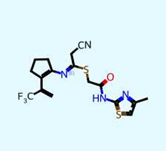 C=C(C1=C(/N=C(\CC#N)SCC(=O)Nc2nc(C)cs2)CCC1)C(F)(F)F